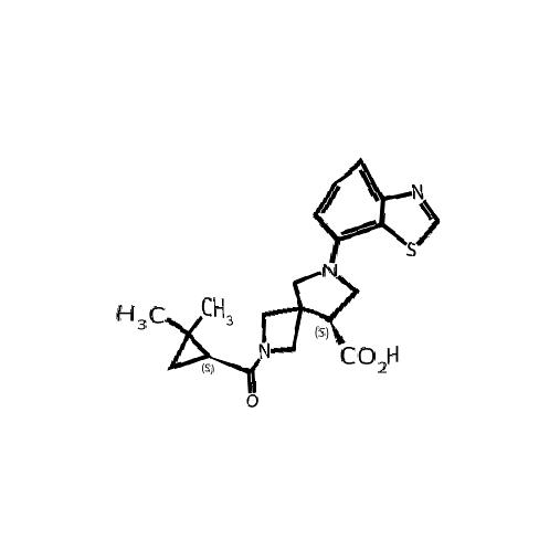 CC1(C)C[C@@H]1C(=O)N1CC2(C1)CN(c1cccc3ncsc13)C[C@H]2C(=O)O